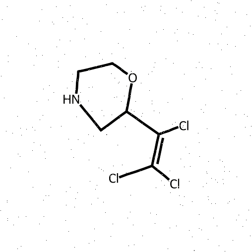 ClC(Cl)=C(Cl)C1CNCCO1